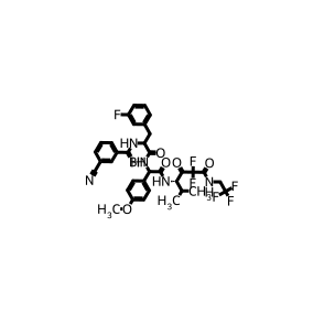 B=C(NC(Cc1cccc(F)c1)C(=O)NC(C(=O)N[C@H](C(=O)C(F)(F)C(=O)NCC(F)(F)F)C(C)C)c1ccc(OC)cc1)c1cccc(C#N)c1